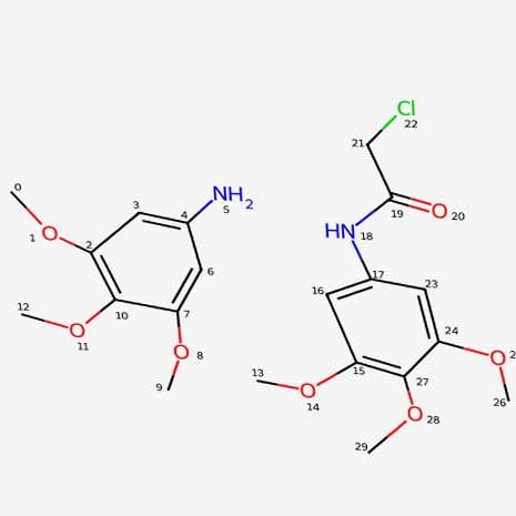 COc1cc(N)cc(OC)c1OC.COc1cc(NC(=O)CCl)cc(OC)c1OC